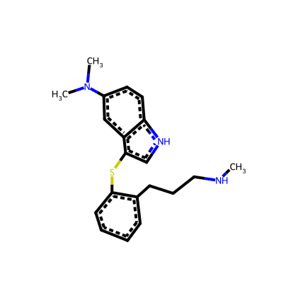 CNCCCc1ccccc1Sc1c[nH]c2ccc(N(C)C)cc12